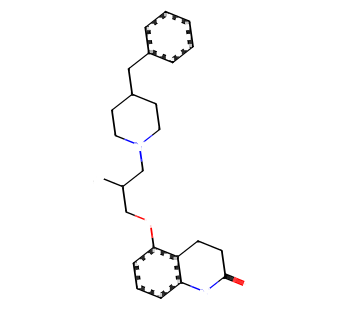 CC(COc1cccc2c1CCC(=O)N2)CN1CCC(Cc2ccccc2)CC1